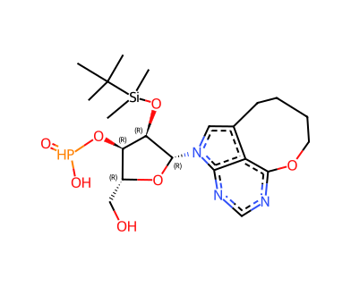 CC(C)(C)[Si](C)(C)O[C@@H]1[C@H](O[PH](=O)O)[C@@H](CO)O[C@H]1n1cc2c3c(ncnc31)OCCCC2